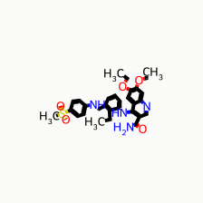 CCOc1cc2ncc(C(N)=O)c(Nc3cccc(CNc4ccc(S(C)(=O)=O)cc4)c3CC)c2cc1OCC